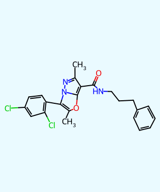 Cc1nn2c(-c3ccc(Cl)cc3Cl)c(C)oc2c1C(=O)NCCCc1ccccc1